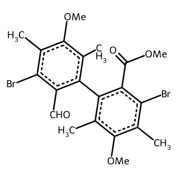 COC(=O)c1c(Br)c(C)c(OC)c(C)c1-c1c(C)c(OC)c(C)c(Br)c1C=O